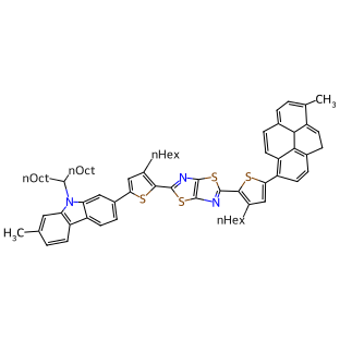 CCCCCCCCC(CCCCCCCC)n1c2cc(C)ccc2c2ccc(-c3cc(CCCCCC)c(-c4nc5sc(-c6sc(-c7ccc8c9c7C=CC7=CC=C(C)C(=CC8)C79)cc6CCCCCC)nc5s4)s3)cc21